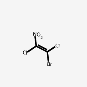 O=[N+]([O-])/C(Cl)=C(\Cl)Br